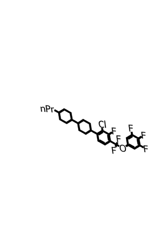 CCCC1CCC(C2CCC(c3ccc(C(F)(F)Oc4cc(F)c(F)c(F)c4)c(F)c3Cl)CC2)CC1